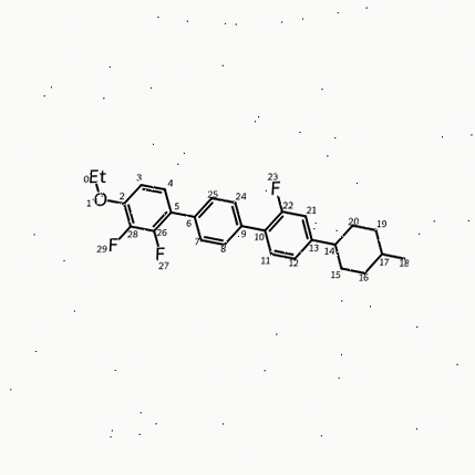 CCOc1ccc(-c2ccc(-c3ccc(C4CCC(C)CC4)cc3F)cc2)c(F)c1F